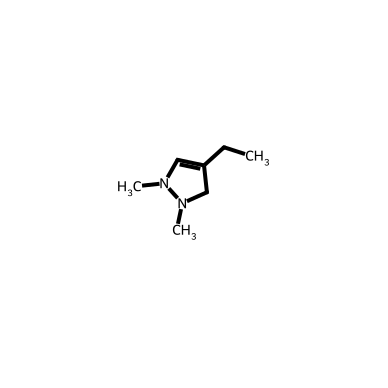 CCC1=CN(C)N(C)C1